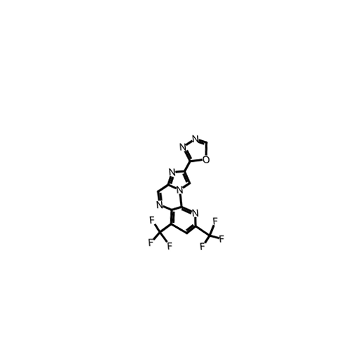 FC(F)(F)c1cc(C(F)(F)F)c2ncc3nc(-c4nnco4)cn3c2n1